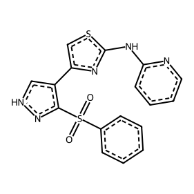 O=S(=O)(c1ccccc1)c1n[nH]cc1-c1csc(Nc2ccccn2)n1